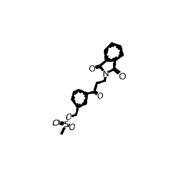 CS(=O)(=O)OCc1cccc(C(=O)CCN2C(=O)c3ccccc3C2=O)c1